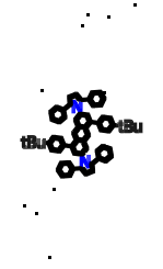 CC(C)(C)c1ccc(-c2cc(-n3c(-c4ccccc4)ccc3-c3ccccc3)cc3cc4c(-c5ccc(C(C)(C)C)cc5)cc(-n5c(-c6ccccc6)ccc5-c5ccccc5)cc4cc23)cc1